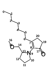 CCCCCCCC1=C(N2CCCC2COC)C(=O)CC1